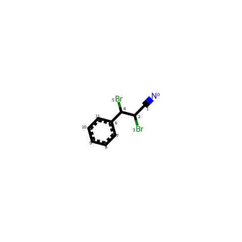 N#CC(Br)C(Br)c1ccccc1